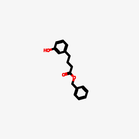 O=C(CCCc1cccc(O)c1)OCc1ccccc1